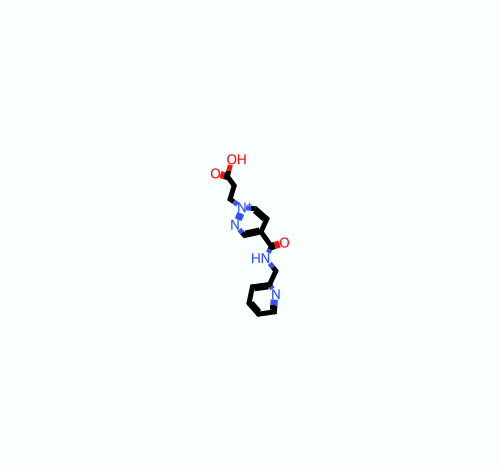 O=C(O)CC[n+]1ccc(C(=O)NCc2ccccn2)cn1